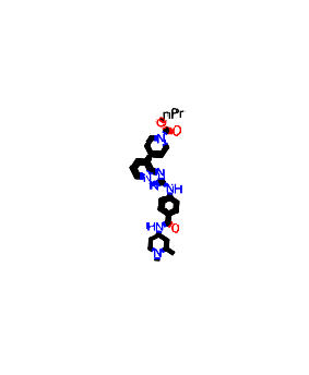 CCCOC(=O)N1CC=C(c2cccn3nc(Nc4ccc(C(=O)NC5CCN(C)C(C)C5)cc4)nc23)CC1